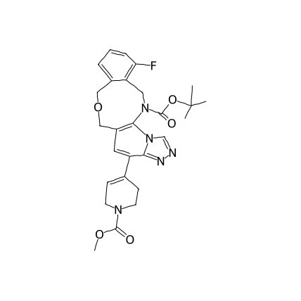 COC(=O)N1CC=C(c2cc3c(n4cnnc24)N(C(=O)OC(C)(C)C)Cc2c(F)cccc2COC3)CC1